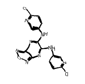 Clc1ccc(Nc2nc3nonc3nc2Nc2ccc(Cl)nc2)cn1